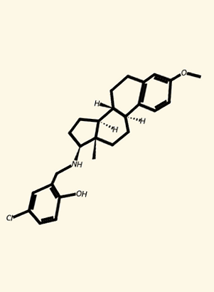 COc1ccc2c(c1)CC[C@@H]1[C@@H]2CC[C@]2(C)[C@@H](NCc3cc(Cl)ccc3O)CC[C@@H]12